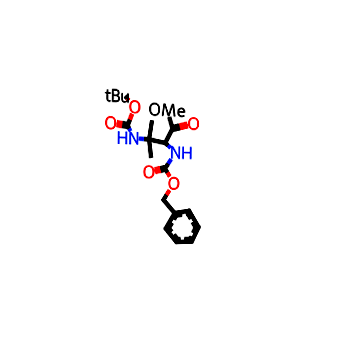 COC(=O)C(NC(=O)OCc1ccccc1)C(C)(C)NC(=O)OC(C)(C)C